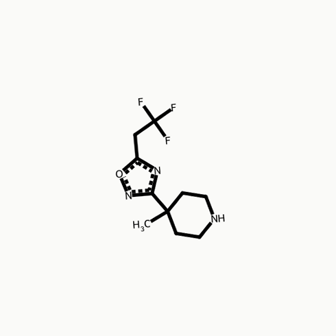 CC1(c2noc(CC(F)(F)F)n2)CCNCC1